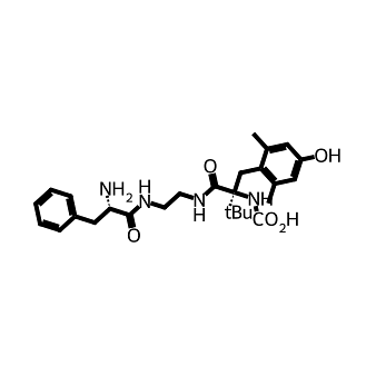 Cc1cc(O)cc(C)c1C[C@@](NC(=O)O)(C(=O)NCCNC(=O)[C@@H](N)Cc1ccccc1)C(C)(C)C